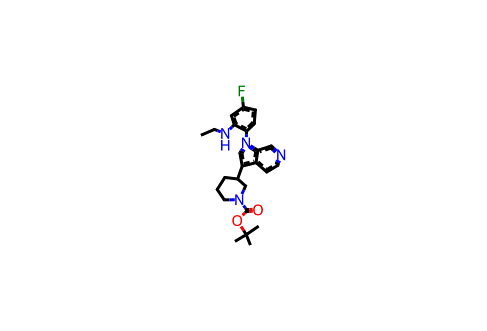 CCNc1cc(F)ccc1-n1cc(C2CCCN(C(=O)OC(C)(C)C)C2)c2ccncc21